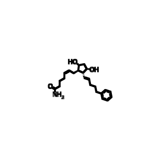 NC(=O)CCC/C=C\C[C@@H]1[C@@H](/C=C/CCCc2ccccc2)[C@H](O)C[C@@H]1O